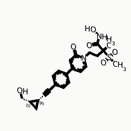 CC(CCn1ccc(-c2ccc(C#C[C@@H]3C[C@@H]3CO)cc2)cc1=O)(C(=O)NO)S(C)(=O)=O